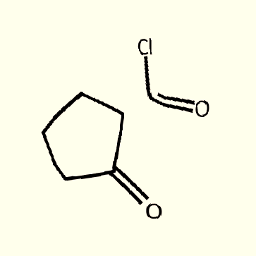 O=C1CCCC1.O=CCl